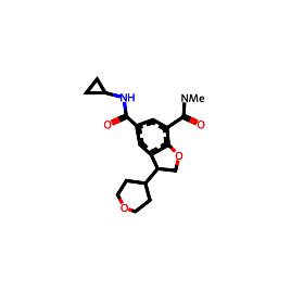 CNC(=O)c1cc(C(=O)NC2CC2)cc2c1OCC2C1CCOCC1